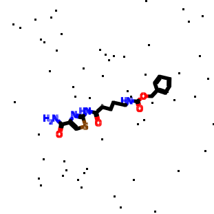 NC(=O)c1csc(NC(=O)[CH]CCCNC(=O)OCc2ccccc2)n1